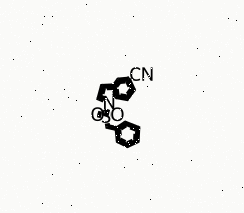 N#Cc1ccc2c(ccn2S(=O)(=O)Cc2ccccc2)c1